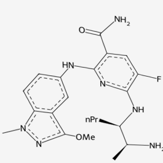 CCC[C@@H](Nc1nc(Nc2ccc3c(c2)c(OC)nn3C)c(C(N)=O)cc1F)[C@H](C)N